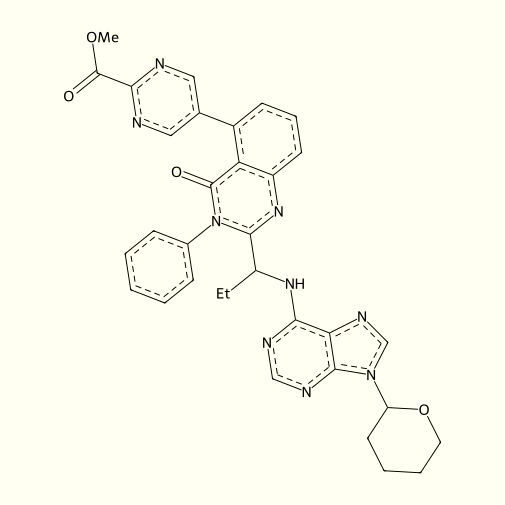 CCC(Nc1ncnc2c1ncn2C1CCCCO1)c1nc2cccc(-c3cnc(C(=O)OC)nc3)c2c(=O)n1-c1ccccc1